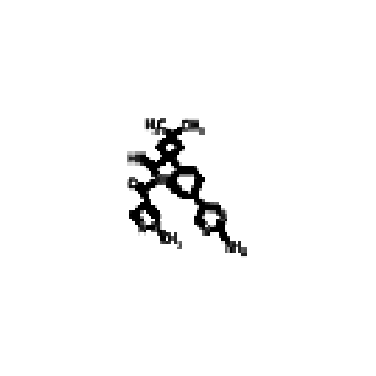 Cn1cc(C(=O)NC(=N)C2(c3ccc(-c4cnc(N)nc4)cc3)CC(C)(C)C2)cn1